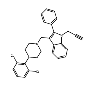 C#CCn1c(-c2ccccc2)c(CN2CCC(c3c(Cl)cccc3Cl)CC2)c2ccccc21